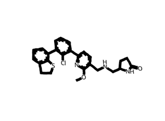 COc1nc(-c2cccc(-c3cccc4c3SCC4)c2Cl)ccc1CNCC1CCC(=O)N1